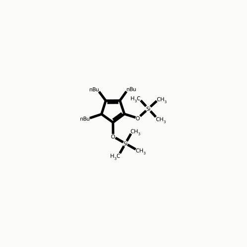 CCCCC1=C(CCCC)C(CCCC)C(O[Si](C)(C)C)=C1O[Si](C)(C)C